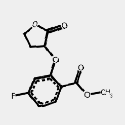 COC(=O)c1ccc(F)cc1OC1CCOC1=O